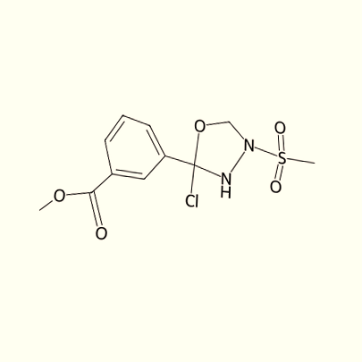 COC(=O)c1cccc(C2(Cl)NN(S(C)(=O)=O)CO2)c1